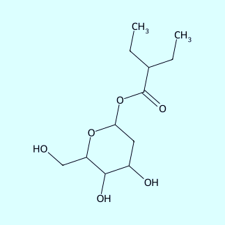 CCC(CC)C(=O)OC1CC(O)C(O)C(CO)O1